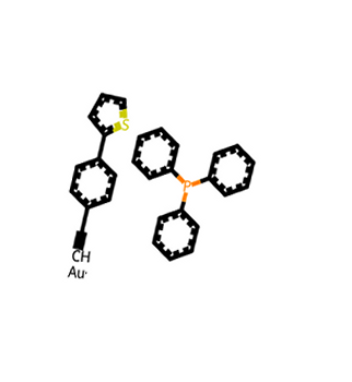 C#Cc1ccc(-c2cccs2)cc1.[Au].c1ccc(P(c2ccccc2)c2ccccc2)cc1